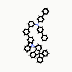 c1ccc(-c2ccc(N(c3ccc(-c4ccccc4)cc3)c3cccc(-c4cccc(-c5ccc6c(c5)c5ccccc5n6-c5cccc6c5-c5ccccc5C6(c5ccccc5)c5ccccc5)c4)c3)cc2)cc1